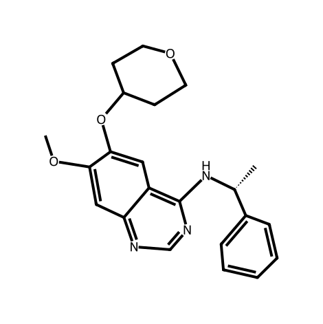 COc1cc2ncnc(N[C@H](C)c3ccccc3)c2cc1OC1CCOCC1